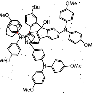 COc1ccc(N(c2ccc(OC)cc2)c2ccc(-c3cc(-c4ccc(C(C)(C)C)cc4C4(O)c5cc(N(c6ccc(OC)cc6)c6ccc(OC)cc6)ccc5-c5ccc(N(c6ccc(OC)cc6)c6ccc(OC)cc6)cc54)n(C4CCCCO4)n3)cc2)cc1